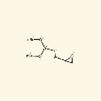 CCCC[O][Zr]([CH2]CC1CO1)[O]CCCC